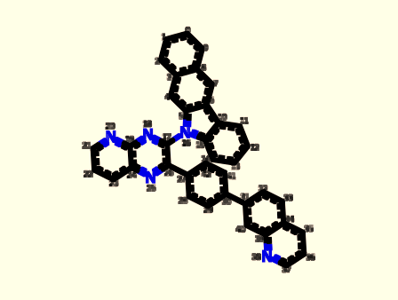 c1ccc2cc3c(cc2c1)c1ccccc1n3-c1nc2ncccc2nc1-c1ccc(-c2ccc3cccnc3c2)cc1